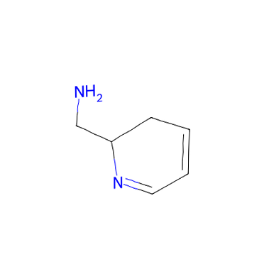 NCC1CC=CC=N1